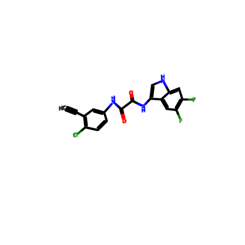 C#Cc1cc(NC(=O)C(=O)Nc2c[nH]c3cc(F)c(F)cc23)ccc1Cl